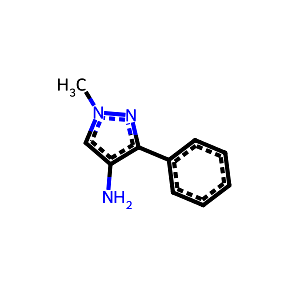 Cn1cc(N)c(-c2ccccc2)n1